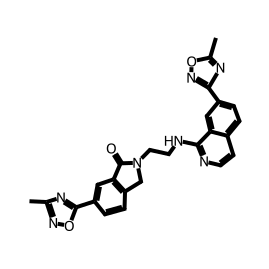 Cc1noc(-c2ccc3c(c2)C(=O)N(CCNc2nccc4ccc(-c5noc(C)n5)cc24)C3)n1